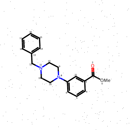 COC(=O)c1cccc(N2CCN(Cc3ccccc3)CC2)c1